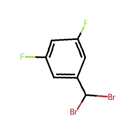 Fc1cc(F)cc(C(Br)Br)c1